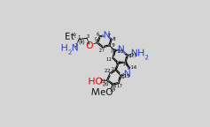 CC[C@@H](N)COc1cncc(-c2cc3c(cnc4cc(OC)c(O)cc43)c(N)n2)c1